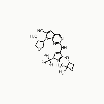 [2H]C([2H])([2H])n1cc(Nc2ncc3cc(C#N)n([C@H]4COC[C@@H]4C)c3n2)c(O[C@@H]2COC2(C)C)n1